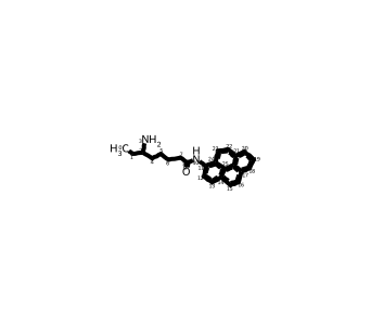 CCC(N)CCCCC(=O)Nc1ccc2ccc3cccc4ccc1c2c34